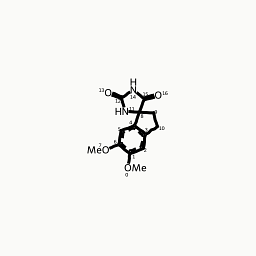 COc1cc2c(cc1OC)C1(CC2)NC(=O)NC1=O